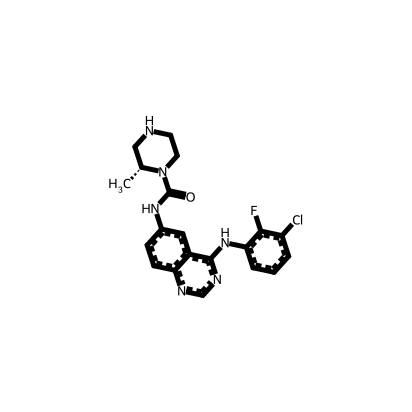 C[C@@H]1CNCCN1C(=O)Nc1ccc2ncnc(Nc3cccc(Cl)c3F)c2c1